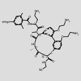 CCCCCCCc1cc(C)c(C(=O)N[C@@H](CCN)C(=O)N(C)[C@@H]2C(=O)N[C@@H](C)C(=O)N[C@H](C(=O)NCC#N)Cc3ccc(OCCN)c(c3)-c3cc2ccc3OCCN)c(C)c1